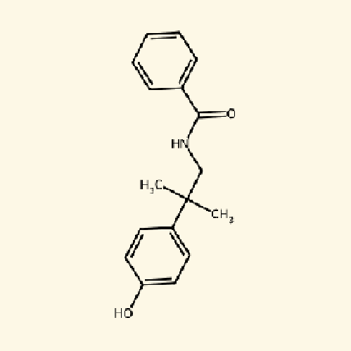 CC(C)(CNC(=O)c1ccccc1)c1ccc(O)cc1